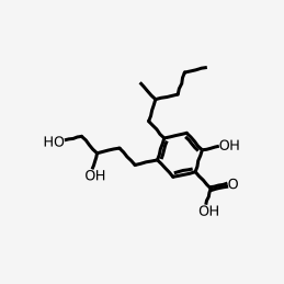 CCCC(C)Cc1cc(O)c(C(=O)O)cc1CCC(O)CO